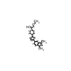 CCOCC(O)N1CCC(c2nc(-c3ccc4c(C)nn(C)c4c3)no2)CC1